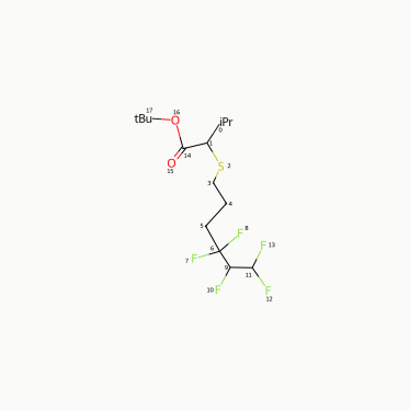 CC(C)C(SCCCC(F)(F)C(F)C(F)F)C(=O)OC(C)(C)C